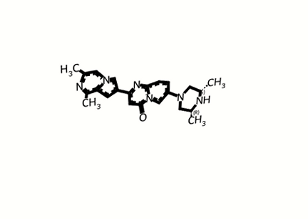 Cc1cn2cc(-c3cc(=O)n4cc(N5C[C@@H](C)N[C@@H](C)C5)ccc4n3)cc2c(C)n1